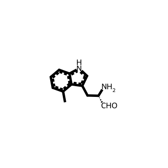 Cc1cccc2[nH]cc(C[C@H](N)C=O)c12